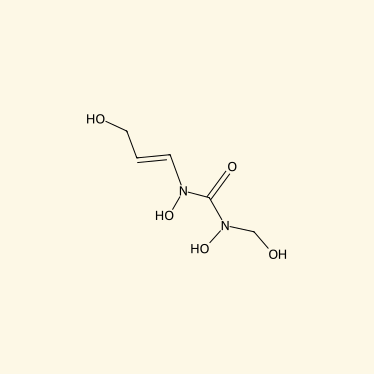 O=C(N(O)C=CCO)N(O)CO